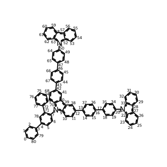 c1ccc(-c2ccc(-n3c4ccc(-c5ccc(-c6ccc(-n7c8ccccc8c8ccccc87)cc6)cc5)cc4c4cc(-c5ccc(-c6ccc(-n7c8ccccc8c8ccccc87)cc6)cc5)ccc43)c(-c3ccccc3)c2)cc1